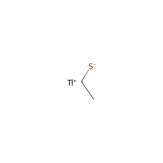 CC[S-].[Tl+]